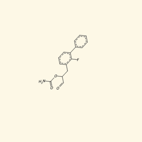 NC(=O)OC(C=O)Cc1cccc(-c2ccccc2)c1F